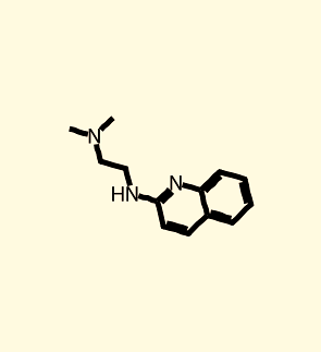 CN(C)CCNc1ccc2ccccc2n1